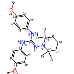 COc1ccc(NC(=NN2C(C)(C)CCCC2(C)C)Nc2ccc(OC)cc2)cc1